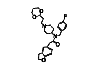 O=C(Cc1ccc2occc2c1)N(Cc1ccc(F)cc1)C1CCN(CCC2OCCCO2)CC1